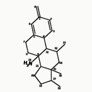 C=C1C=CC2C(=C1)CCC1(N)C2C(C)CC2(C)C(C)CCC21